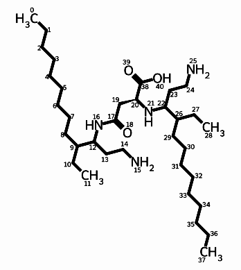 CCCCCCCCCC(CC)C(CCN)NC(=O)C[C@H](NC(CCN)C(CC)CCCCCCCCC)C(=O)O